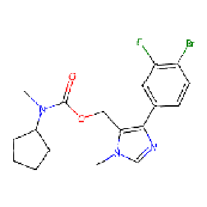 CN(C(=O)OCc1c(-c2ccc(Br)c(F)c2)ncn1C)C1CCCC1